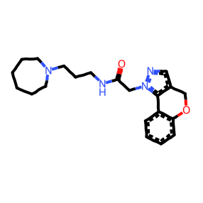 O=C(Cn1ncc2c1-c1ccccc1OC2)NCCCN1CCCCCC1